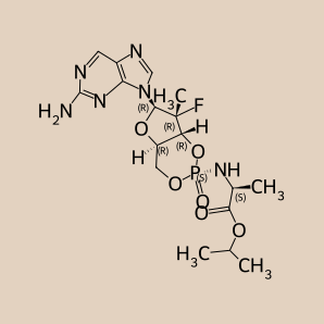 CC(C)OC(=O)[C@H](C)N[P@]1(=O)OC[C@H]2O[C@@H](n3cnc4cnc(N)nc43)[C@](C)(F)[C@@H]2O1